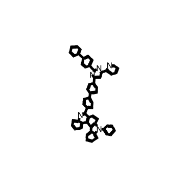 c1ccc(-c2ccc(-c3nc(-c4ccc(-c5ccc(-c6nc7ccccc7c7c6ccc6c7c7ccccc7n6-c6ccccc6)cc5)cc4)cc(-c4ccccn4)n3)cc2)cc1